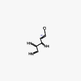 N=CC(=N)C(=N)/C=C/Cl